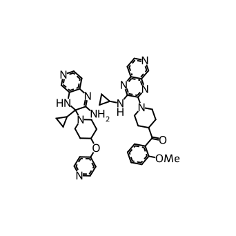 COc1ccccc1C(=O)C1CCN(c2nc3cnccc3nc2NC2CC2)CC1.NC1=Nc2ccncc2NC1(C1CC1)N1CCC(Oc2ccncc2)CC1